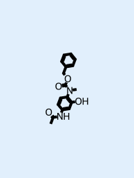 CC(=O)Nc1ccc(N(C)C(=O)OCc2ccccc2)c(O)c1